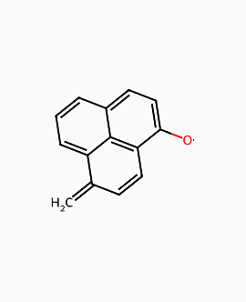 C=c1ccc2c([O])ccc3cccc1c32